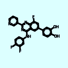 Oc1ccc(-c2cc(F)c3nc(-c4cccnc4)nc(Nc4ccc(F)c(F)c4)c3c2)cc1O